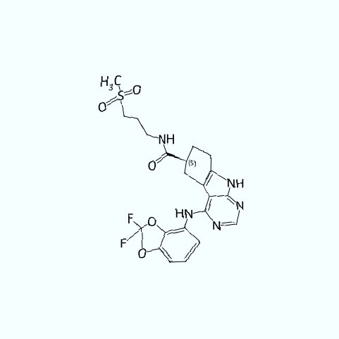 CS(=O)(=O)CCCNC(=O)[C@H]1CCc2[nH]c3ncnc(Nc4cccc5c4OC(F)(F)O5)c3c2C1